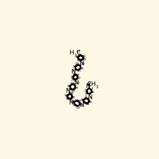 CN=C1C=CC(=Nc2ccc(N=C3C=CC(=Nc4ccc(N=C5C=CC(=Nc6ccc(N=C7C=CC(=Nc8ccc(C)cc8)C=C7)cc6)C=C5)cc4)C=C3)cc2)C=C1